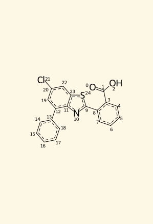 O=C(O)c1ccccc1-c1nc2c(-c3ccccc3)cc(Cl)cc2s1